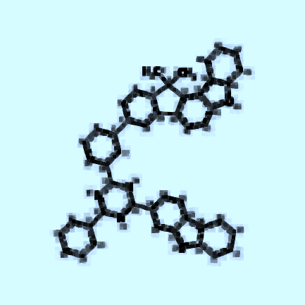 CC1(C)c2ccc(-c3cccc(-c4nc(-c5ccccc5)nc(-c5ccc6c(c5)sc5ccccc56)n4)c3)cc2-c2ccc3oc4ccccc4c3c21